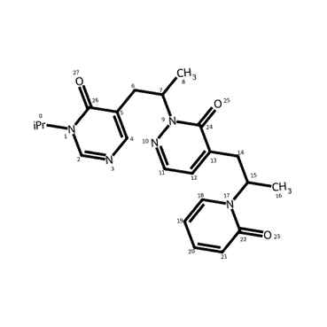 CC(C)n1cncc(CC(C)n2nccc(CC(C)n3ccccc3=O)c2=O)c1=O